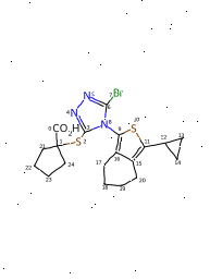 O=C(O)C1(Sc2nnc(Br)n2-c2sc(C3CC3)c3c2CCCC3)CCCC1